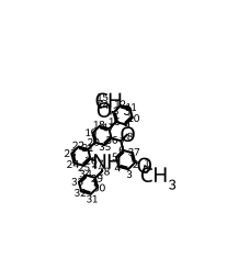 COc1cccc(C2Oc3cccc(OC)c3-c3ccc(-c4ccccc4NCc4ccccc4)cc32)c1